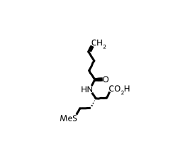 C=CCCC(=O)N[C@@H](CCSC)CC(=O)O